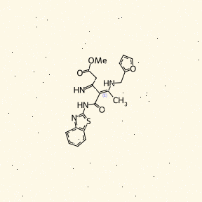 COC(=O)CC(=N)/C(C(=O)Nc1nc2ccccc2s1)=C(/C)NCc1ccco1